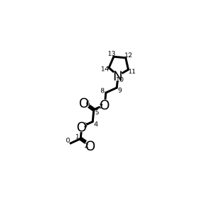 CC(=O)OCC(=O)OCCN1CCCC1